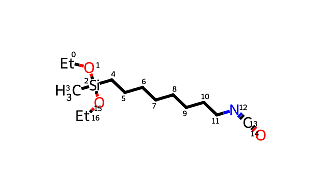 CCO[Si](C)(CCCCCCCCN=C=O)OCC